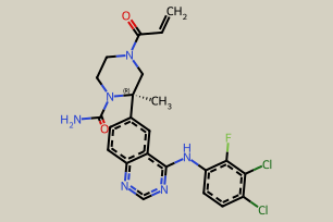 C=CC(=O)N1CCN(C(N)=O)[C@](C)(c2ccc3ncnc(Nc4ccc(Cl)c(Cl)c4F)c3c2)C1